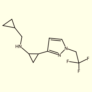 FC(F)(F)Cn1ccc(C2CC2NCC2CC2)n1